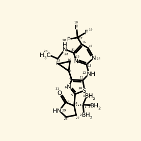 BC(B)(B)[C@]1(c2nc(C3CC3)c(Nc3ncc(C(F)(F)F)c(NCC)n3)s2)CCNC1=O